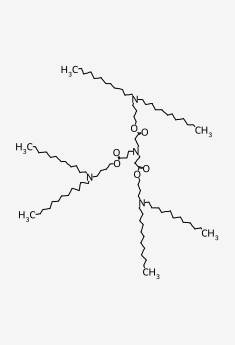 CCCCCCCCCCCCN(CCCCCCCCCCCC)CCCCOC(=O)CCN(CCC(=O)OCCCCN(CCCCCCCCCCCC)CCCCCCCCCCCC)CCC(=O)OCCCCN(CCCCCCCCCCCC)CCCCCCCCCCCC